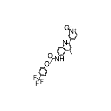 Cc1cc(-c2ccc[n+]([O-])c2)nc2ccc(NC(=O)COc3ccc(C(F)(F)F)cc3)cc12